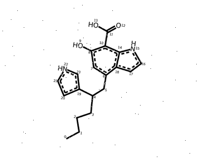 CCCCC(Cc1cc(O)c(C(=O)O)c2[nH]ccc12)c1cc[nH]c1